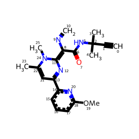 C#CC(C)(C)NC(=O)/C(N=C)=C1\N=C(c2cccc(OC)n2)C=C(C)N1C